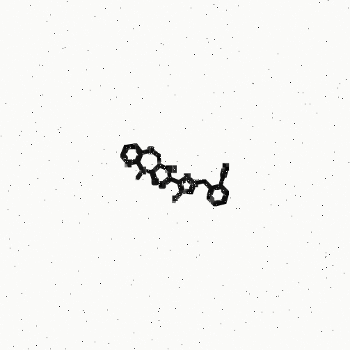 CN1C(=O)C(NC(=O)c2nn(Cc3ccccc3C#N)cc2F)COc2cccnc21